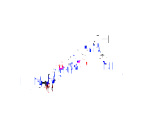 CC(Cc1ccc(-n2ccc(NC(=O)N3CCN(C(=O)C(C)(C)N)CC3)nc2=O)cc1)NCC1CC(N)C1